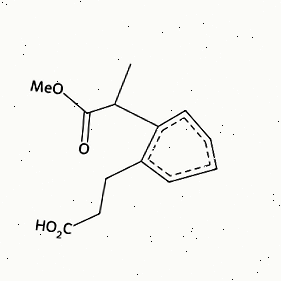 COC(=O)C(C)c1ccccc1CCC(=O)O